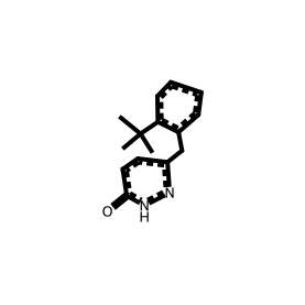 CC(C)(C)c1ccccc1Cc1ccc(=O)[nH]n1